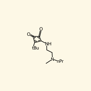 CCCN(C)CCNc1c(C(C)(C)C)c(=O)c1=O